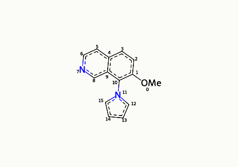 COc1ccc2ccncc2c1-n1cccc1